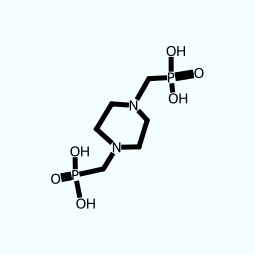 O=P(O)(O)CN1CCN(CP(=O)(O)O)CC1